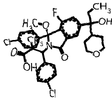 CCC(O)(c1cc(F)c2c(c1)C(=O)N(C(c1ccc(Cl)cc1)C(C)C(=O)O)[C@]2(OC)c1ccc(Cl)cc1)C1CCOCC1